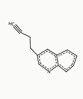 C#CCCc1cnc2ccccc2c1